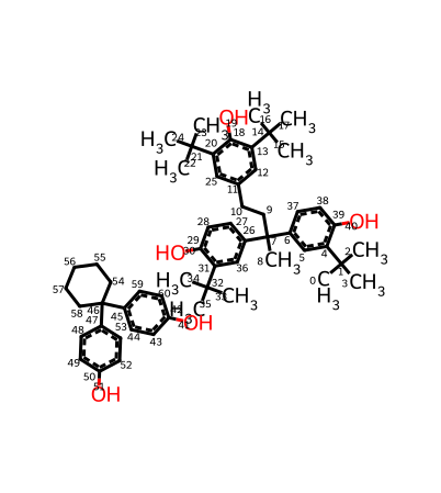 CC(C)(C)c1cc(C(C)(CCc2cc(C(C)(C)C)c(O)c(C(C)(C)C)c2)c2ccc(O)c(C(C)(C)C)c2)ccc1O.Oc1ccc(C2(c3ccc(O)cc3)CCCCC2)cc1